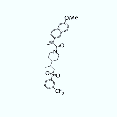 COc1ccc2cc([C@H](C)C(=O)N3CCC(C(C)CS(=O)(=O)c4cccc(C(F)(F)F)c4)CC3)ccc2c1